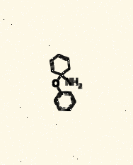 NC1(Oc2ccccc2)C=CC=CC1